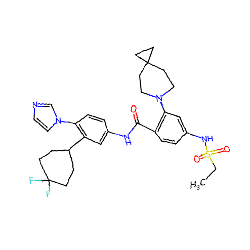 CCS(=O)(=O)Nc1ccc(C(=O)Nc2ccc(-n3ccnc3)c(C3CCC(F)(F)CC3)c2)c(N2CCC3(CC2)CC3)c1